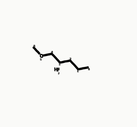 CCCCCOC.F